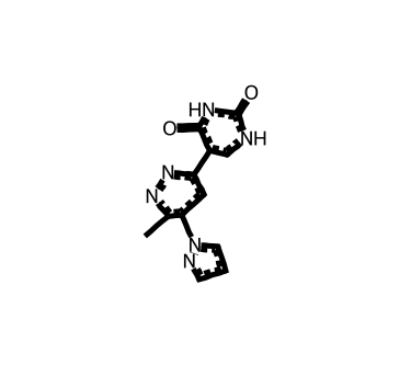 Cc1nnc(-c2c[nH]c(=O)[nH]c2=O)cc1-n1cccn1